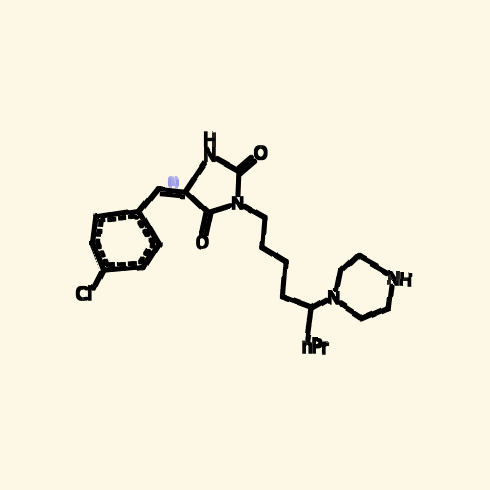 CCCC(CCCCN1C(=O)N/C(=C/c2ccc(Cl)cc2)C1=O)N1CCNCC1